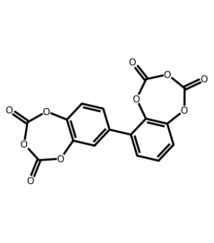 O=C1OC(=O)Oc2cc(-c3cccc4c3OC(=O)OC(=O)O4)ccc2O1